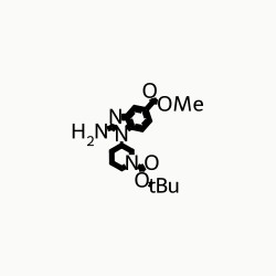 COC(=O)c1ccc2c(c1)nc(N)n2[C@@H]1CCCN(C(=O)OC(C)(C)C)C1